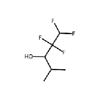 CC(C)C(O)C(F)(F)C(F)F